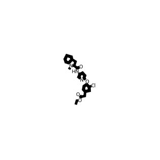 CCOC(=O)Cc1ccc(Oc2ccc(NC(=O)C3Cc4ccccc4N3C)cn2)c(Cl)c1